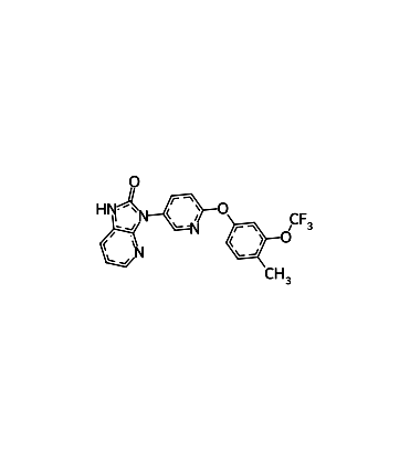 Cc1ccc(Oc2ccc(-n3c(=O)[nH]c4cccnc43)cn2)cc1OC(F)(F)F